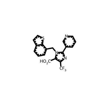 O=C(O)c1c(C(F)(F)F)nc(-c2cccnc2)n1Cc1cccc2ccsc12